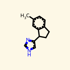 Cc1ccc2c(c1)C(c1c[nH]cn1)CC2